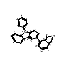 c1ccc(-n2c3ccccc3c3cc(-c4cccc5nsnc45)ccc32)cc1